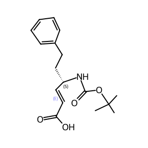 CC(C)(C)OC(=O)N[C@H](/C=C/C(=O)O)CCc1ccccc1